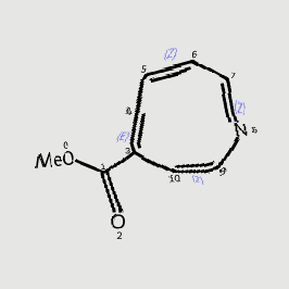 COC(=O)C1=C/C=C\C=N/C=C\1